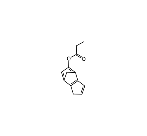 CCC(=O)OC1=C2CC(=C1)C1=C2C=CC1